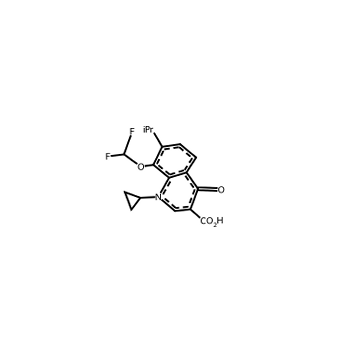 CC(C)c1ccc2c(=O)c(C(=O)O)cn(C3CC3)c2c1OC(F)F